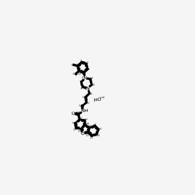 Cc1cccc(N2CCN(CCCCNC(=O)c3ccc4oc5ccccc5c4c3)CC2)c1C.Cl